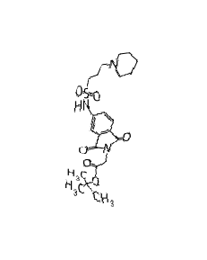 CC(C)(C)OC(=O)CN1C(=O)c2ccc(NS(=O)(=O)CCCN3CCCCC3)cc2C1=O